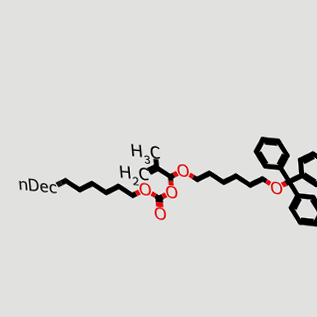 C=C(C)C(OCCCCCCOC(c1ccccc1)(c1ccccc1)c1ccccc1)OC(=O)OCCCCCCCCCCCCCCCC